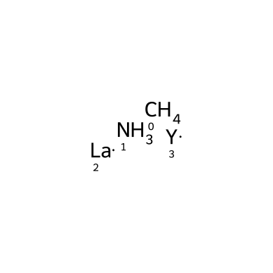 C.N.[La].[Y]